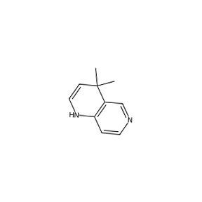 CC1(C)C=CNc2ccncc21